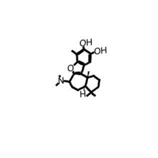 Cc1c(O)c(O)cc2c3c(oc12)C(N(C)C)CC[C@@H]1C(C)(C)CCC[C@@]31C